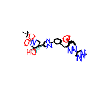 Cn1cc(-n2ccc(=O)c(Cc3cccc(-c4ncc([C@@]5(F)CCN(C(=O)OC(C)(C)C)C[C@@H]5O)cn4)c3)n2)cn1